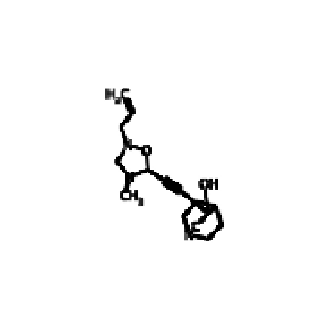 C=CCN1CN(C)C(C#CC2(O)CN3CCC2CC3)O1